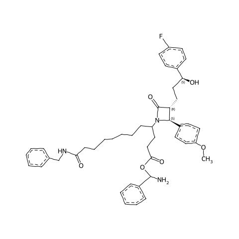 COc1ccc([C@@H]2[C@@H](CC[C@H](O)c3ccc(F)cc3)C(=O)N2C(CCCCCCCC(=O)NCc2ccccc2)CCC(=O)OC(N)c2ccccc2)cc1